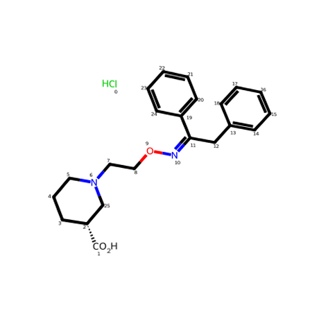 Cl.O=C(O)[C@@H]1CCCN(CCON=C(Cc2ccccc2)c2ccccc2)C1